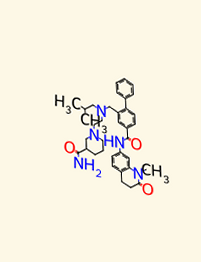 CC(C)CN(CCN1CCCC(C(N)=O)C1)Cc1cc(C(=O)Nc2ccc3c(c2)N(C)C(=O)CC3)ccc1-c1ccccc1